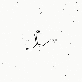 C.O=C(O)CC(=O)C(=O)O